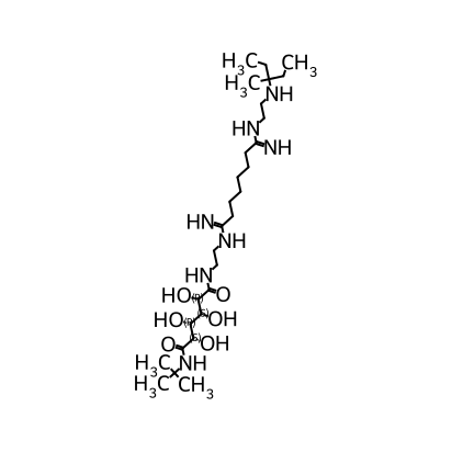 CCC(C)(CC)NCCNC(=N)CCCCCCC(=N)NCCNC(=O)[C@H](O)[C@@H](O)[C@@H](O)[C@H](O)C(=O)NC(C)(C)C